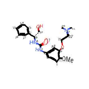 COc1ccc(NC(=O)N[C@@H](CO)c2ccccc2)cc1OCCN(C)C